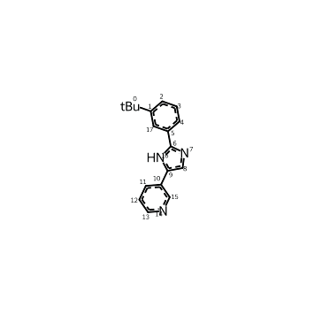 CC(C)(C)c1cccc(-c2ncc(-c3cccnc3)[nH]2)c1